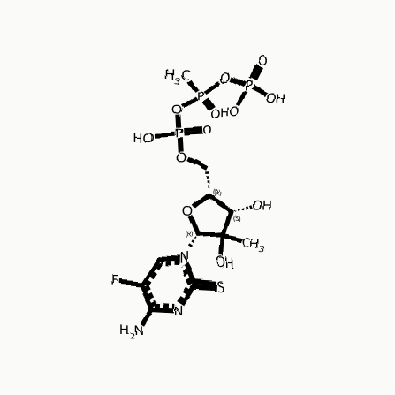 CC1(O)[C@@H](O)[C@@H](COP(=O)(O)OP(C)(=O)OP(=O)(O)O)O[C@H]1n1cc(F)c(N)nc1=S